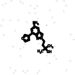 CC(C)(O)CCn1cc2cc(N)cc(-c3ccoc3)c2n1